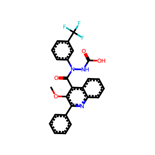 COc1c(-c2ccccc2)nc2ccccc2c1C(=O)N(NC(=O)O)c1cccc(C(F)(F)F)c1